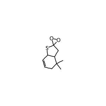 CC1(C)CC=CC2SC3(CC21)OO3